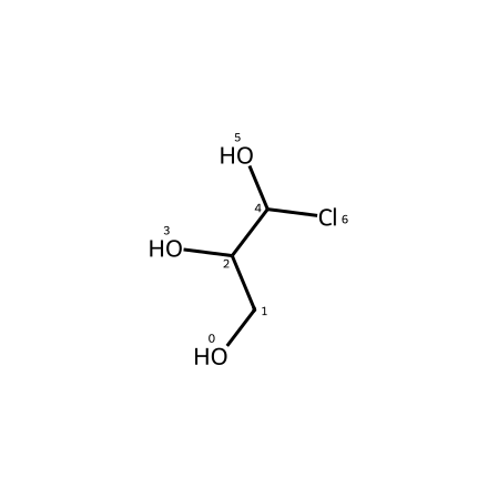 OCC(O)C(O)Cl